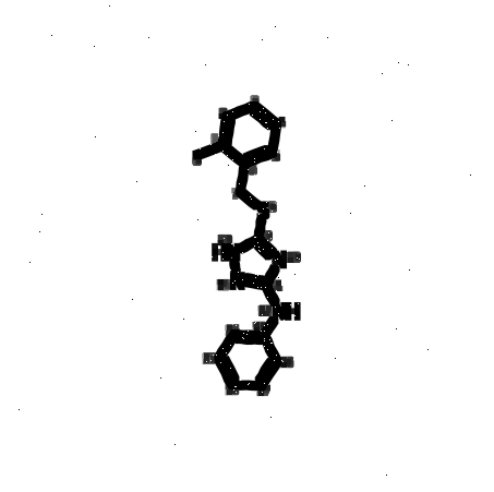 Cc1ccccc1CSc1nc(Nc2ccccc2)n[nH]1